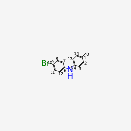 Cc1ccc(Nc2ccc(Br)cc2)cc1